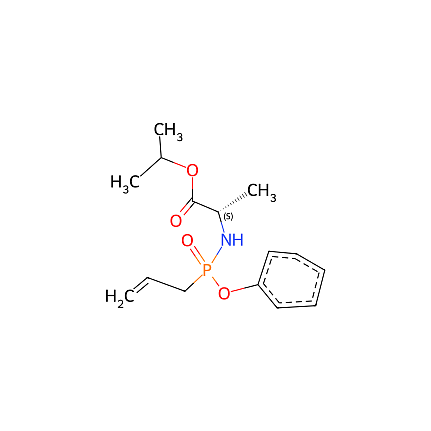 C=CCP(=O)(N[C@@H](C)C(=O)OC(C)C)Oc1ccccc1